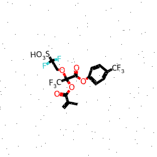 C=C(C)C(=O)OC(OCC(F)(F)S(=O)(=O)O)(C(=O)Oc1ccc(C(F)(F)F)cc1)C(F)(F)F